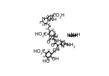 CC1=NC2=CN(C(=O)O)NN2C(SCC2=C(C(=O)O)N3C(=O)[C@@H](NC(=O)/C(=N\OCc4cc(C(=O)O)cc(O)c4O)c4csc(N)n4)[C@H]3SC2)=C1.[NaH].[NaH].[NaH]